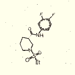 CCS(=O)(=O)N1CCC[C@H](C(=O)Nc2ccc(F)c(F)c2)C1